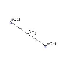 CCCCCCCC/C=C\CCCCCCCCC(N)CCCCCCCC/C=C\CCCCCCCC